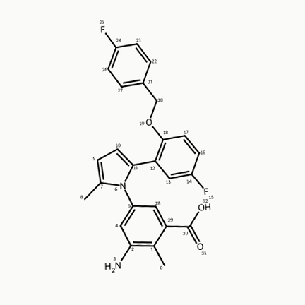 Cc1c(N)cc(-n2c(C)ccc2-c2cc(F)ccc2OCc2ccc(F)cc2)cc1C(=O)O